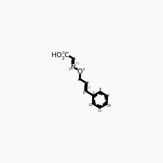 O=C(O)/C=N/OC/C=C/c1ccccc1